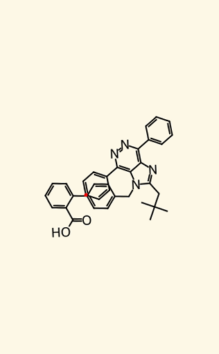 CC(C)(C)Cc1nc2c(-c3ccccc3)nnc(-c3ccccc3)c2n1Cc1ccc(-c2ccccc2C(=O)O)cc1